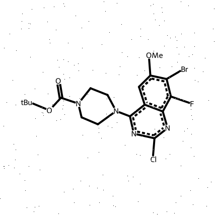 COc1cc2c(N3CCN(C(=O)OC(C)(C)C)CC3)nc(Cl)nc2c(F)c1Br